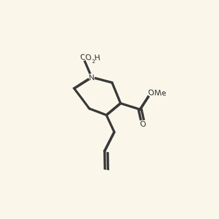 C=CCC1CCN(C(=O)O)CC1C(=O)OC